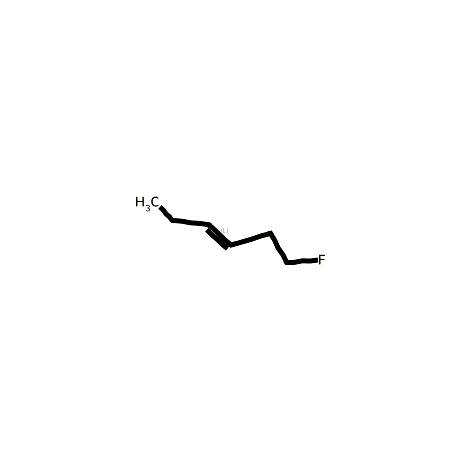 CC/C=[C]/CCF